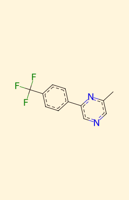 Cc1cncc(-c2ccc(C(F)(F)F)cc2)n1